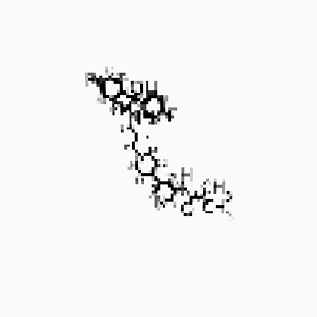 CC(C)C(=O)Nc1cncc(C2CCN(CCCNC(=O)C(O)(c3ccc(F)cc3)c3ccc(F)cc3)CC2)c1